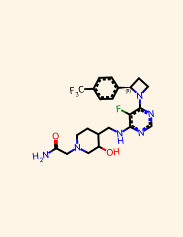 NC(=O)CN1CCC(CNc2ncnc(N3CC[C@@H]3c3ccc(C(F)(F)F)cc3)c2F)C(O)C1